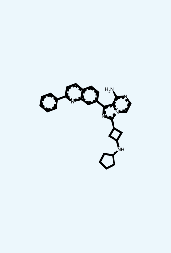 Nc1nccn2c(C3CC(NC4CCCC4)C3)nc(-c3ccc4ccc(-c5ccccc5)nc4c3)c12